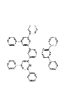 C1=CC(c2cc(-c3ccccc3)cc(-c3cc(-c4cc(-c5ccccc5)cc(-c5ccccc5)n4)cc(-c4cc(-c5ccccc5)cc(-c5ccccc5)n4)c3)n2)=CCC1